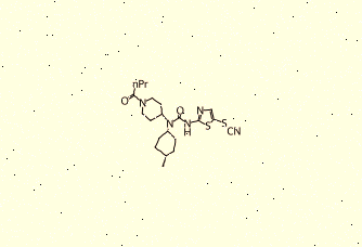 CCCC(=O)N1CCC(N(C(=O)Nc2ncc(SC#N)s2)[C@H]2CC[C@H](C)CC2)CC1